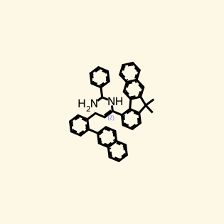 CC1(C)c2cc3ccccc3cc2-c2c(/C(=C/Cc3ccccc3-c3ccc4ccccc4c3)NC(N)c3ccccc3)cccc21